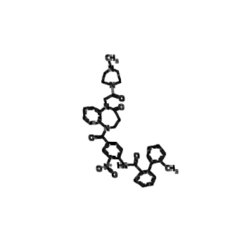 Cc1ccccc1-c1ccccc1C(=O)Nc1ccc(C(=O)N2CCC(=O)N(CC(=O)N3CCN(C)CC3)c3ccccc32)cc1[N+](=O)[O-]